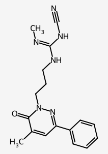 CN=C(NC#N)NCCCn1nc(-c2ccccc2)cc(C)c1=O